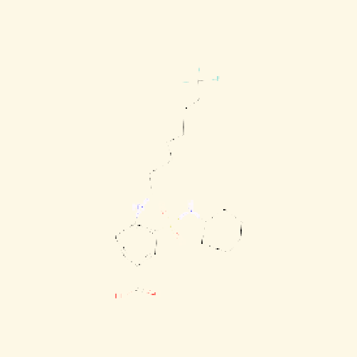 O=C(O)c1ccc(NCCCCCCCC(F)(F)F)c(S(=O)(=O)NC2CCCCC2)c1